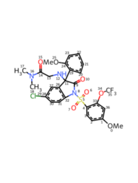 COc1ccc(S(=O)(=O)N2C(=O)C(NCC(=O)N(C)C)(c3ccccc3OC)c3cc(Cl)ccc32)c(OC(F)(F)F)c1